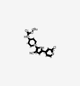 CC(C)(C)OC(=O)NC1CCN(c2[nH]c(-c3ccnc(Cl)c3)cc2C#N)CC1